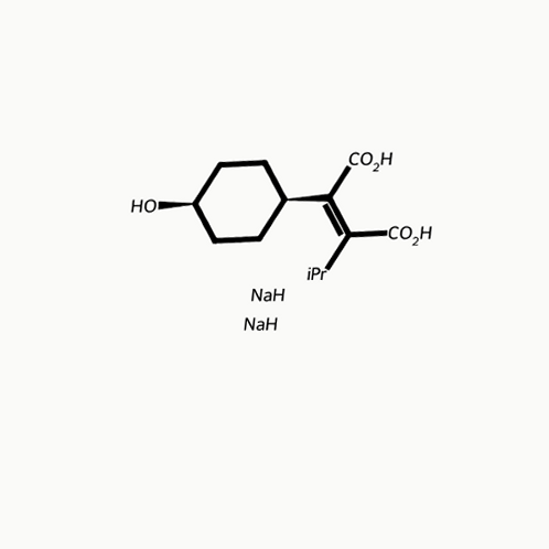 CC(C)/C(C(=O)O)=C(/C(=O)O)[C@H]1CC[C@@H](O)CC1.[NaH].[NaH]